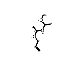 C=C[CH]OC(C)OC(C)OC